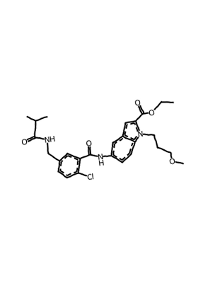 CCOC(=O)c1cc2cc(NC(=O)c3cc(CNC(=O)C(C)C)ccc3Cl)ccc2n1CCCOC